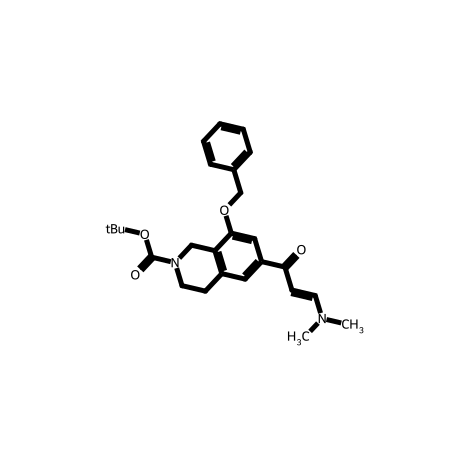 CN(C)/C=C/C(=O)c1cc2c(c(OCc3ccccc3)c1)CN(C(=O)OC(C)(C)C)CC2